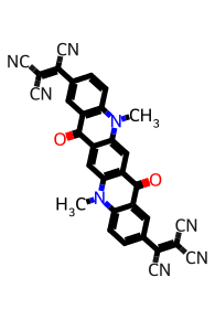 Cn1c2ccc(C(C#N)=C(C#N)C#N)cc2c(=O)c2cc3c(cc21)c(=O)c1cc(C(C#N)=C(C#N)C#N)ccc1n3C